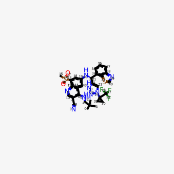 CC(C)(C)CNc1c(C#N)cnc2c(S(C)(=O)=O)cc(N[C@H](C3=CN(C4(C(F)(F)F)CC4)NN3)c3cccc4ncsc34)cc12